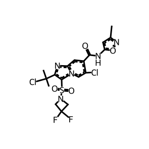 Cc1cc(NC(=O)c2cc3nc(C(C)(C)Cl)c(S(=O)(=O)N4CC(F)(F)C4)n3cc2Cl)on1